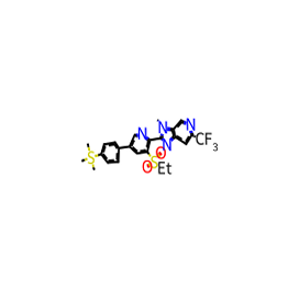 CCS(=O)(=O)c1cc(-c2ccc(S(C)(C)C)cc2)cnc1-c1nc2cc(C(F)(F)F)ncc2n1C